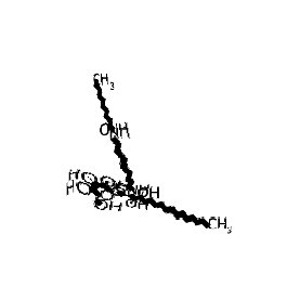 CCCCCCCCCCCCCC[C@@H](O)[C@@H](O)[C@H](CO[C@H]1O[C@H](CO)[C@H](O)[C@H](O)[C@H]1O)NC(=O)CCCCCCCCNC(=O)CCCCCCCCC